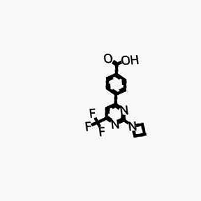 O=C(O)c1ccc(-c2cc(C(F)(F)F)nc(N3CCC3)n2)cc1